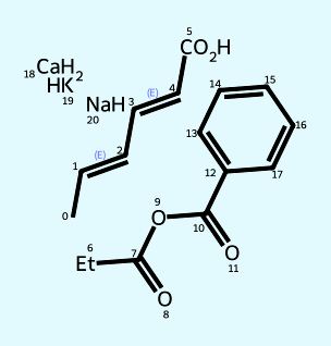 C/C=C/C=C/C(=O)O.CCC(=O)OC(=O)c1ccccc1.[CaH2].[KH].[NaH]